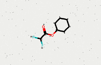 O=C(OC1CCCCC1)C(F)F